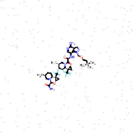 C[C@H]1CC[C@H](C2(C(F)(F)F)CC2)N(C(=O)C(=O)Nc2cnc(N)c3cnn(COCC[Si](C)(C)C)c23)C1.C[C@H]1CC[C@H](C2(C(F)(F)F)CC2)N(C(=O)C(N)=O)C1